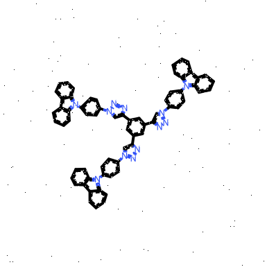 c1ccc2c(c1)c1ccccc1n2-c1ccc(-n2cc(-c3cc(-c4cn(-c5ccc(-n6c7ccccc7c7ccccc76)cc5)nn4)cc(-c4cn(-c5ccc(-n6c7ccccc7c7ccccc76)cc5)nn4)c3)nn2)cc1